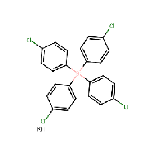 Clc1ccc([B-](c2ccc(Cl)cc2)(c2ccc(Cl)cc2)c2ccc(Cl)cc2)cc1.[KH]